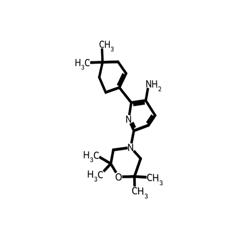 CC1(C)CC=C(c2nc(N3CC(C)(C)OC(C)(C)C3)ccc2N)CC1